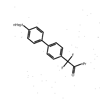 CCCCCCCc1ccc(-c2ccc(C(F)(F)C(=O)CCC)cc2)cc1